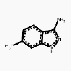 Cc1ccc2c(N)n[nH]c2c1